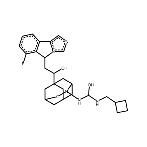 OC(NCC1CCC1)NN1CC2CC3CC1CC(C(O)CC1c4c(F)cccc4-c4cncn41)(C3)C2